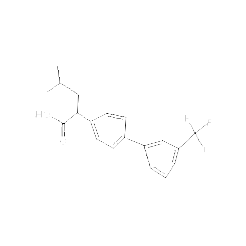 CC(C)CC(C(=O)O)c1ccc(-c2cccc(C(F)(F)F)c2)cc1